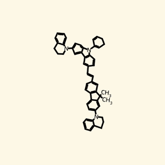 CC1(C)c2cc(/C=C/c3ccc4c(c3)c3cc(N5CCCc6ccccc65)ccc3n4C3=CCCC=C3)ccc2-c2ccc(N3CCCc4ccccc43)cc21